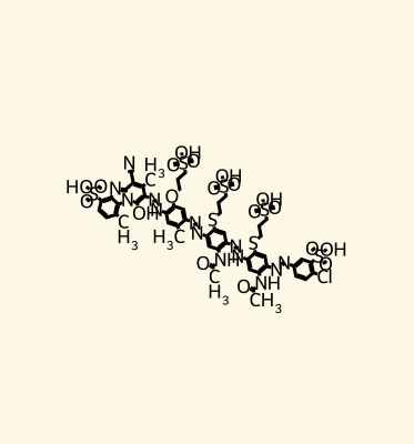 CC(=O)Nc1cc(N=Nc2cc(SCCCS(=O)(=O)O)c(N=Nc3cc(OCCCS(=O)(=O)O)c(N=Nc4c(C)c(C#N)c5nc6c(S(=O)(=O)O)ccc(C)c6n5c4O)cc3C)cc2NC(C)=O)c(SCCCS(=O)(=O)O)cc1N=Nc1ccc(Cl)c(S(=O)(=O)O)c1